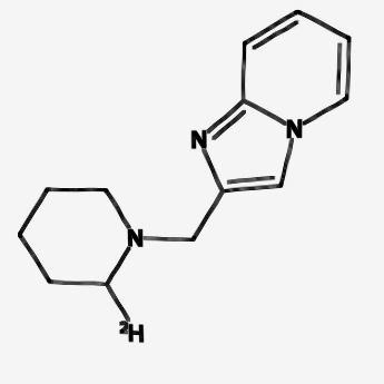 [2H]C1CCCCN1Cc1cn2ccccc2n1